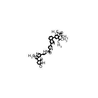 CC(C)c1cc(-c2cccc3cc(-c4ccc(C(=O)NCC#Cc5cnc6c(c5)c(C5CCC(=O)NC5=O)cn6C)nc4)ncc23)cc2c1n(C)c(=O)n2C